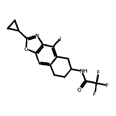 O=C(NC1CCc2cc3oc(C4CC4)nc3c(I)c2C1)C(F)(F)F